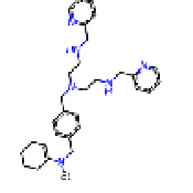 CCN(Cc1ccc(CN(CCNCc2ccccn2)CCNCc2ccccn2)cc1)C1=CCCCC1